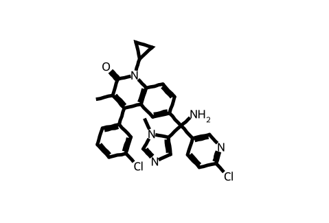 Cc1c(-c2cccc(Cl)c2)c2cc(C(N)(c3ccc(Cl)nc3)c3cncn3C)ccc2n(C2CC2)c1=O